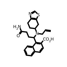 C=CCN(C1CCc2ncsc2C1)C(CCC(N)=O)c1c(C(=O)O)ccc2ccccc12